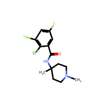 CN1CCC(C)(NC(=O)c2cc(F)cc(F)c2Cl)CC1